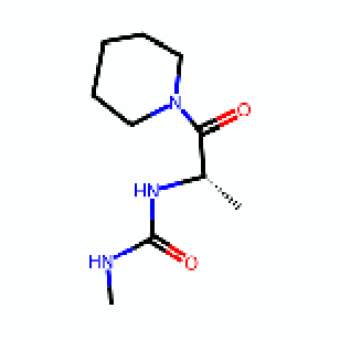 CNC(=O)N[C@@H](C)C(=O)N1CCCCC1